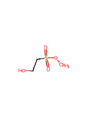 O=S(=O)(CCO)OO